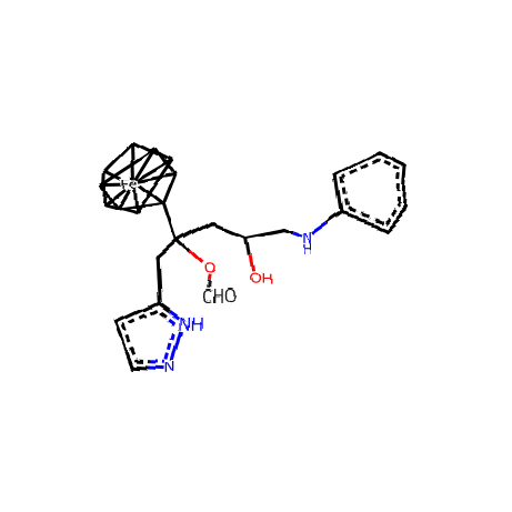 O=COC(Cc1ccn[nH]1)(CC(O)CNc1ccccc1)[C]12[CH]3[CH]4[CH]5[CH]1[Fe]45321678[CH]2[CH]1[CH]6[CH]7[CH]28